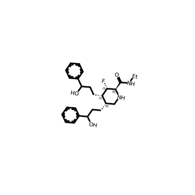 CCNC(=O)[C@H]1NC[C@H](CCC(O)c2ccccc2)[C@H](CCC(O)c2ccccc2)[C@@H]1F